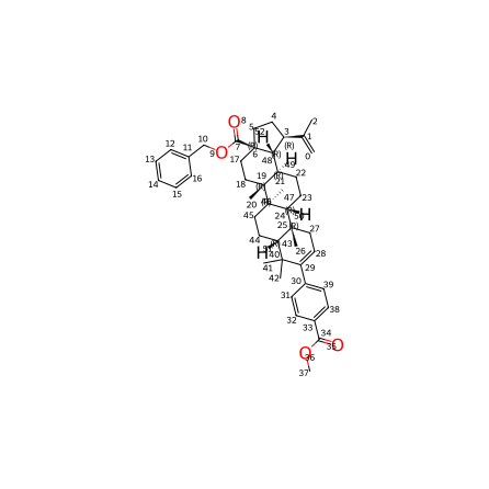 C=C(C)[C@@H]1CC[C@@]2(C(=O)OCc3ccccc3)CC[C@]3(C)[C@H](CC[C@@H]4[C@]5(C)CC=C(c6ccc(C(=O)OC)cc6)C(C)(C)[C@@H]5CC[C@]43C)[C@@H]12